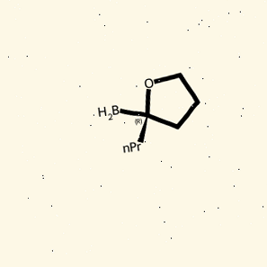 B[C@@]1(CCC)CCCO1